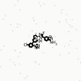 C[C@H]1Cc2cc(-c3cc(Cl)ccc3-n3cnnn3)cc(=O)n2[C@@H]1c1nc(F)c(-c2ccc3c(N)noc3c2)[nH]1